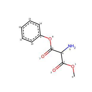 COC(=O)C(N)C(=O)Oc1ccccc1